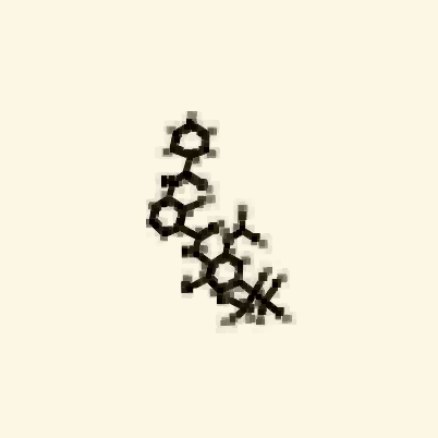 O=C(Nc1cccc(C(=O)Nc2c(Br)cc(C(F)(C(F)(F)F)C(F)(F)Br)cc2OC(F)F)c1F)c1ccncc1